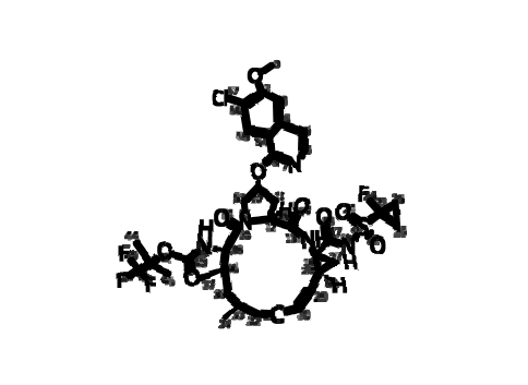 COc1cc2ccnc(O[C@@H]3C[C@H]4C(=O)N[C@]5(C(=O)NS(=O)(=O)C6(F)CC6)C[C@H]5/C=C\CC[C@@H](C)C[C@@H](C)[C@H](NC(=O)OC(C)(C)C(F)(F)F)C(=O)N4C3)c2cc1Cl